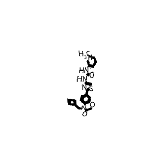 CN1CCC[C@H](NC(=O)Nc2csc(-c3ccc4c(c3)OCC(=O)N4CC3CCC3)n2)C1